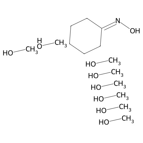 CO.CO.CO.CO.CO.CO.CO.CO.ON=C1CCCCC1